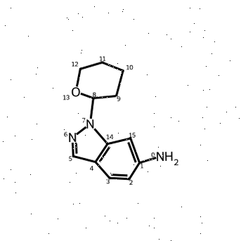 Nc1ccc2cnn(C3CCCCO3)c2c1